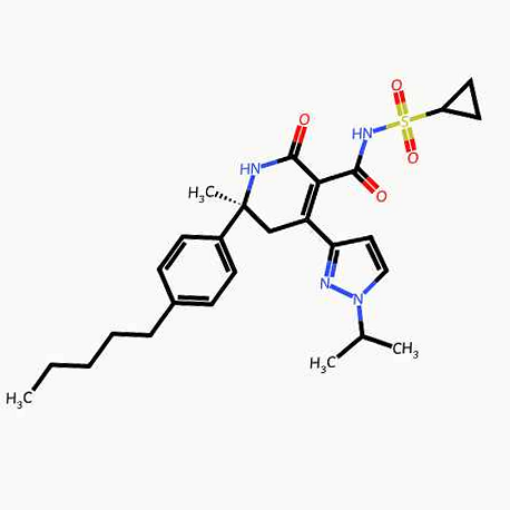 CCCCCc1ccc([C@]2(C)CC(c3ccn(C(C)C)n3)=C(C(=O)NS(=O)(=O)C3CC3)C(=O)N2)cc1